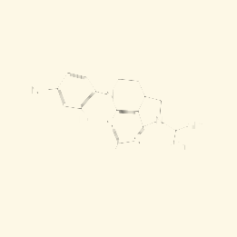 CCCC(CCC)N1CC2CCN(c3ccc(C#N)cc3C)c3nc(C)nc1c32